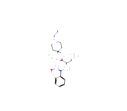 CC(C)(C)CCN1CCC(C#N)(NC(=O)C(CC(C)(C)C)Nc2nc(=O)oc3ccccc23)CC1